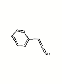 N=C=Cc1ccccc1